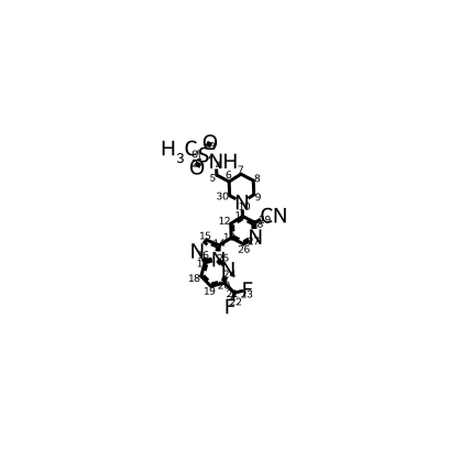 CS(=O)(=O)NCC1CCCN(c2cc(-c3cnc4ccc(C(F)F)nn34)cnc2C#N)C1